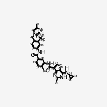 Cc1cn(Cc2ccc(NC(=O)c3ccc(C)c(NC(=O)c4csc5c4=NC(C)NC=5NC4CC4)c3)cc2C(F)(F)F)cn1